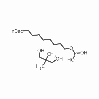 CC(C)(CO)CO.CCCCCCCCCCCCCCCCCCOP(O)O